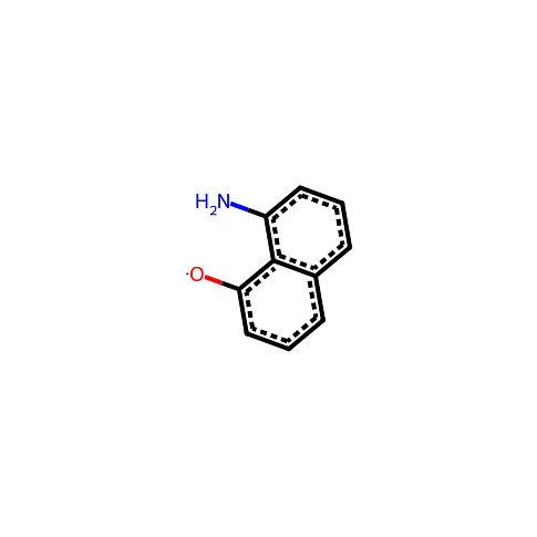 Nc1cccc2cccc([O])c12